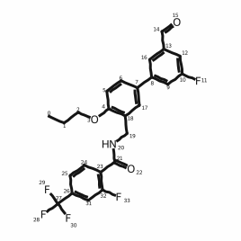 CCCOc1ccc(-c2cc(F)cc(C=O)c2)cc1CNC(=O)c1ccc(C(F)(F)F)cc1F